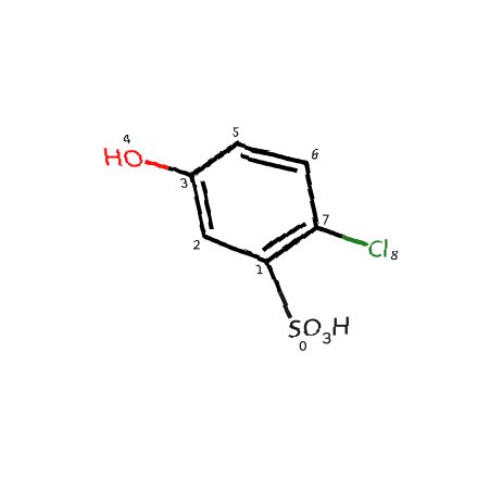 O=S(=O)(O)c1cc(O)ccc1Cl